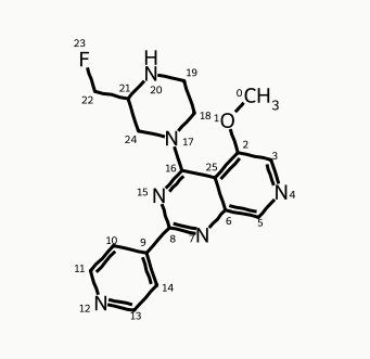 COc1cncc2nc(-c3ccncc3)nc(N3CCNC(CF)C3)c12